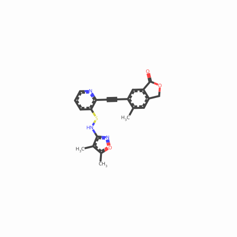 Cc1cc2c(cc1C#Cc1ncccc1SNc1noc(C)c1C)C(=O)OC2